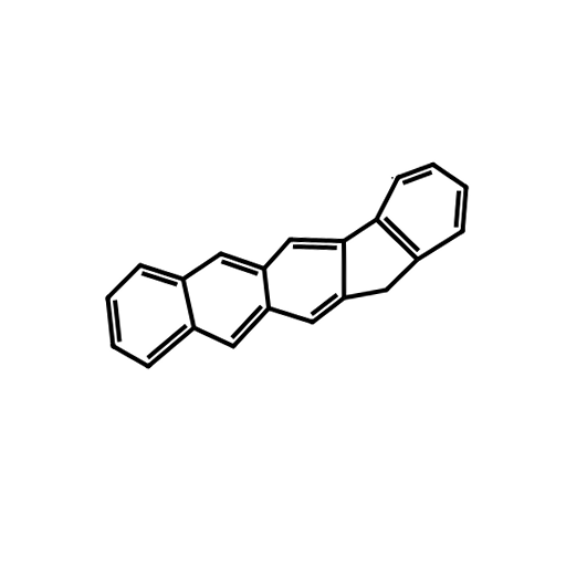 [c]1cccc2c1-c1cc3cc4ccccc4cc3cc1C2